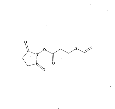 C=CSCCC(=O)ON1C(=O)CCC1=O